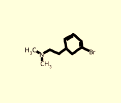 CN(C)CCC1C=CC=C(Br)C1